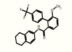 COc1cccc(C(=O)Nc2ccc3c(c2)CCCC3)c1-c1ccc(C(F)(F)F)cc1